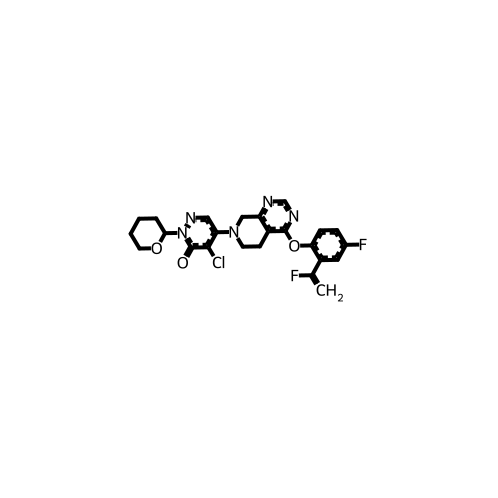 C=C(F)c1cc(F)ccc1Oc1ncnc2c1CCN(c1cnn(C3CCCCO3)c(=O)c1Cl)C2